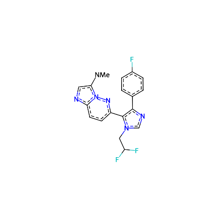 CNc1cnc2ccc(-c3c(-c4ccc(F)cc4)ncn3CC(F)F)nn12